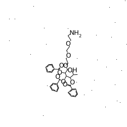 CC(C)[C@@H](OC(=O)c1ccccc1)C(OC(=O)c1ccccc1)C(OC(=O)c1ccccc1)[C@H](O)OCCOCCOCCN